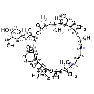 C/C1=C\[C@@H](C)C(=O)C[C@@H]([C@H](C)C[C@@H]2CC[C@@H](O)[C@H](CO)C2)OC(=O)[C@@H]2CCCCN2C(=O)C(=O)[C@]2(O)O[C@@H](CC[C@H]2C)C[C@H](C)/C(C)=C/C=C/C=C/[C@@H](C)C[C@@H](C)C(=O)[C@H](CO)[C@@H]1O